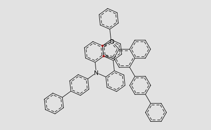 c1ccc(-c2ccc(-c3ccccc3N(c3ccc(-c4ccccc4)cc3)c3cccc4oc5c6ccccc6c(-c6ccc(-c7ccccc7)cc6)cc5c34)cc2)cc1